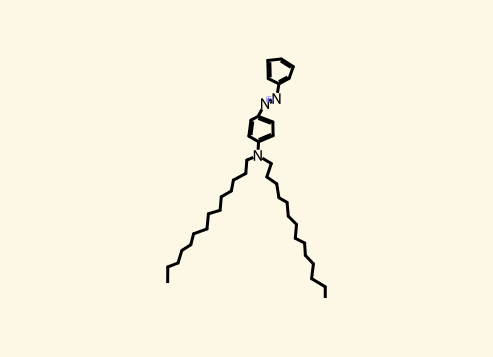 CCCCCCCCCCCCCCN(CCCCCCCCCCCCCC)c1ccc(/N=N/c2ccccc2)cc1